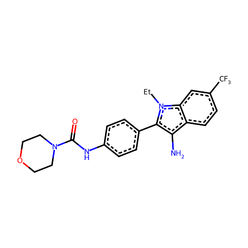 CCn1c(-c2ccc(NC(=O)N3CCOCC3)cc2)c(N)c2ccc(C(F)(F)F)cc21